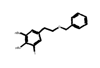 CCCCc1cc(CCOCc2ccccc2)cc(I)c1CCCC